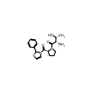 C[C@@H](O)[C@H](N)C(=O)N1CCC[C@H]1C(=O)N1C=CSC1c1ccccc1